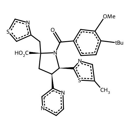 COc1cc(C(=O)N2[C@@H](c3ncc(C)s3)[C@@H](c3cnccn3)C[C@@]2(Cc2cscn2)C(=O)O)ccc1C(C)(C)C